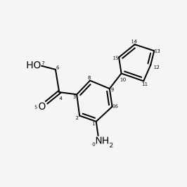 Nc1cc(C(=O)CO)cc(-c2ccccc2)c1